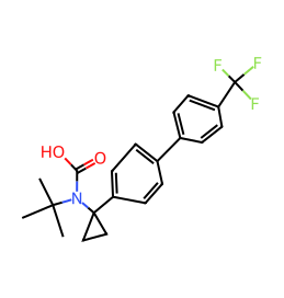 CC(C)(C)N(C(=O)O)C1(c2ccc(-c3ccc(C(F)(F)F)cc3)cc2)CC1